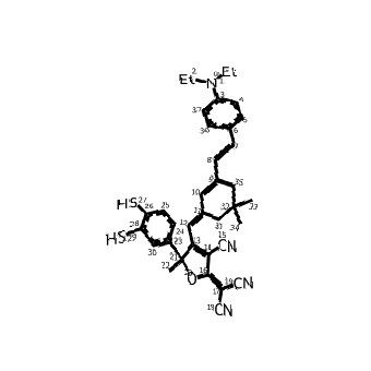 CCN(CC)c1ccc(/C=C/C2=CC(=C/C3=C(C#N)C(=C(C#N)C#N)OC3(C)c3ccc(S)c(S)c3)/CC(C)(C)C2)cc1